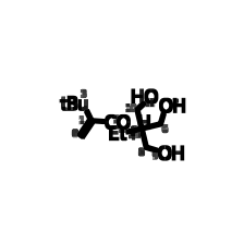 C=C(C(=O)O)C(C)(C)C.CCC(CO)(CO)CO